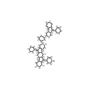 c1ccc(-n2c3ccccc3c3cc(-c4cccc(-c5ccc6c7cc8c(cc7n(-c7ccccc7)c6c5)c5ccccc5n8-c5ccccc5)c4)ccc32)cc1